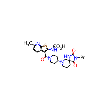 Cc1ccc2c(C(=O)N3CCC(N4CCCC5(C4)NC(=O)N(C(C)C)C5=O)CC3)c(NC(=O)O)sc2n1